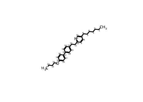 CCCCCCCc1ccc(CCc2ccc(-c3ccc(OCCCC)cc3)cc2)nc1